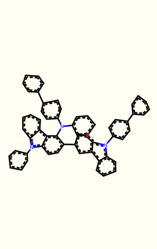 c1ccc(-c2ccc(N(c3ccccc3)c3c(-c4ccc5c(c4)c4ccccc4n5-c4ccc(-c5ccccc5)cc4)ccc4c3c3ccccc3n4-c3ccccc3)cc2)cc1